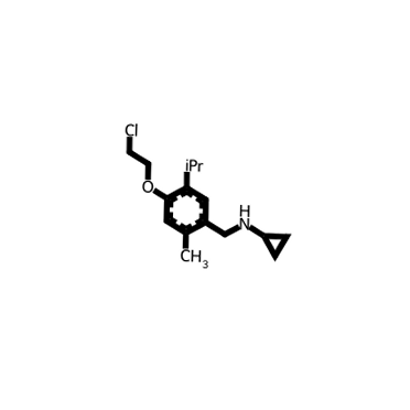 Cc1cc(OCCCl)c(C(C)C)cc1CNC1CC1